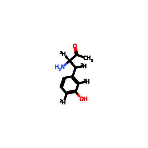 [2H]c1ccc(C([2H])[C@]([2H])(N)C(C)=O)c([2H])c1O